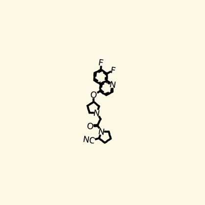 N#CC1CCCN1C(=O)CN1CCC(Oc2ccnc3c(F)c(F)ccc23)C1